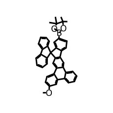 COc1ccc2c(c1)c1ccccc1c1cc3c(cc21)C1(c2ccccc2-c2ccccc21)c1cc(B2OC(C)(C)C(C)(C)O2)ccc1-3